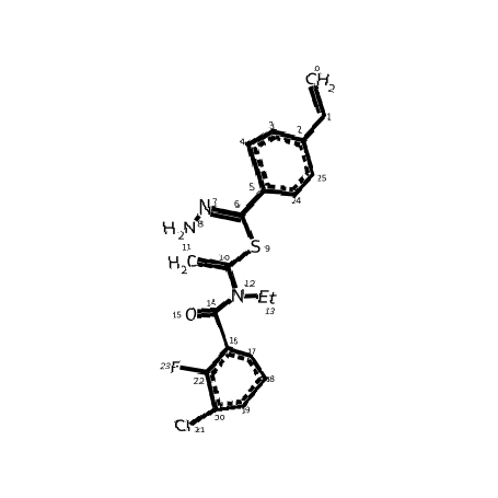 C=Cc1ccc(/C(=N/N)SC(=C)N(CC)C(=O)c2cccc(Cl)c2F)cc1